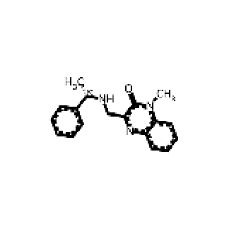 C[C@H](NCc1nc2ccccc2n(C)c1=O)c1ccccc1